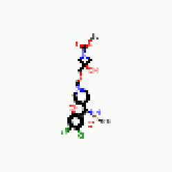 CC(C)(C)OC(=O)N1CC(O)(COCN2CCC([C@@H](N[S@@+]([O-])C(C)(C)C)c3cc(Cl)c(Cl)cc3O)CC2)C1